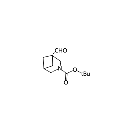 CC(C)(C)OC(=O)N1CC2CC(C=O)(C2)C1